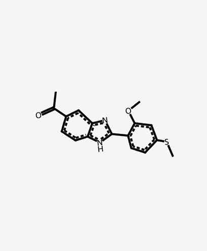 COc1cc(SC)ccc1-c1nc2cc(C(C)=O)ccc2[nH]1